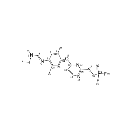 CCN(C)C=Nc1cc(C)c(Oc2ccnc(SCC(F)(F)F)n2)cc1C